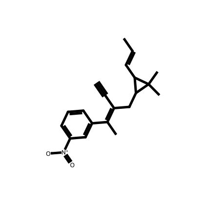 C#CC(CC1C(C=CC)C1(C)C)=C(C)c1cccc([N+](=O)[O-])c1